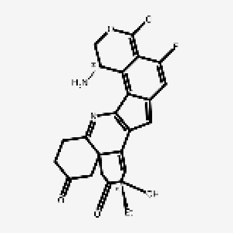 CC[C@]1(O)C=C2C3=C(N=C4CCC(=O)CC24CC1=O)c1c2c(c(F)cc1=C3)=C(Cl)OC[C@H]2N